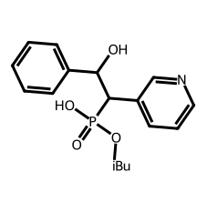 CCC(C)OP(=O)(O)C(c1cccnc1)C(O)c1ccccc1